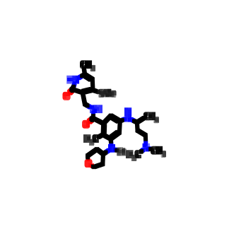 CCN(c1cc(NC(C)CCN(C)C)cc(C(=O)NCc2c(SC)cc(C)[nH]c2=O)c1C)C1CCOCC1